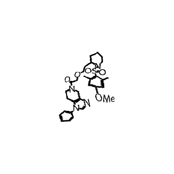 COc1cc(C)c(S(=O)(=O)N2CCCCC2CCOCC(=O)N2CCc3c(ncn3-c3ccccc3)C2)c(C)c1